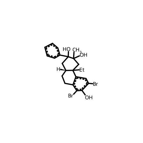 CCC12CC(C)(O)C(O)(c3ccccc3)C[C@H]1CCc1c2cc(Br)c(O)c1Br